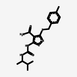 Cc1ccc(CSc2nsc(NC(=O)NC(C)C(C)C)c2C(N)=O)cc1